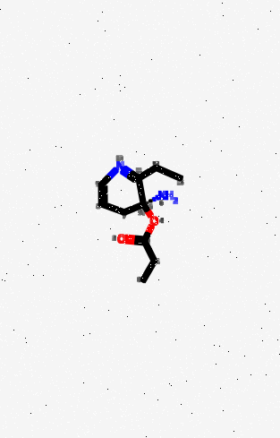 CCC(=O)O[C@@]1(N)CC=CN=C1CC